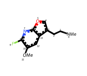 CNCCc1coc2nc(F)c(OC)cc12